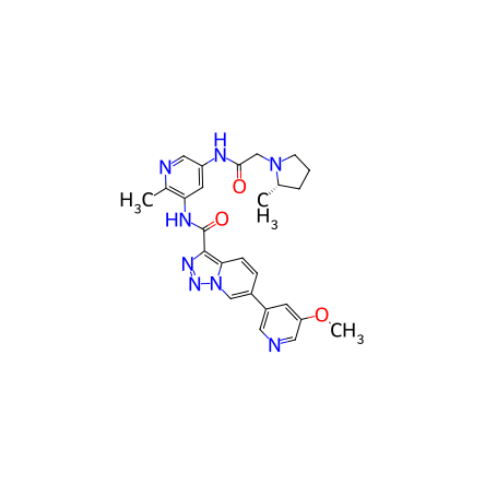 COc1cncc(-c2ccc3c(C(=O)Nc4cc(NC(=O)CN5CCC[C@@H]5C)cnc4C)nnn3c2)c1